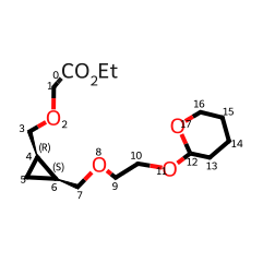 CCOC(=O)COC[C@@H]1C[C@@H]1COCCOC1CCCCO1